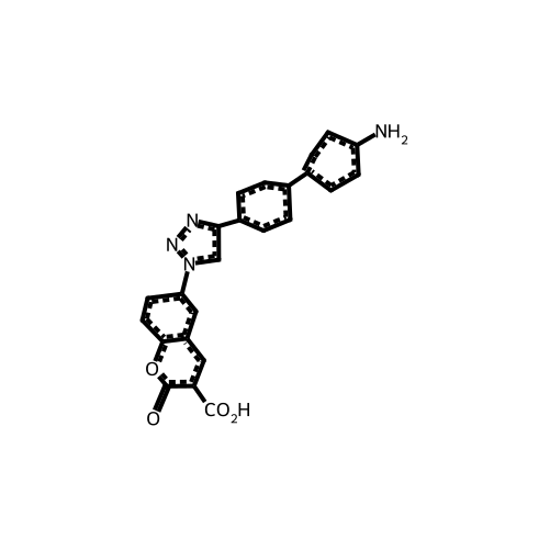 Nc1ccc(-c2ccc(-c3cn(-c4ccc5oc(=O)c(C(=O)O)cc5c4)nn3)cc2)cc1